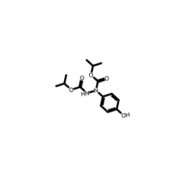 CC(C)OC(=O)NN(C(=O)OC(C)C)c1ccc(O)cc1